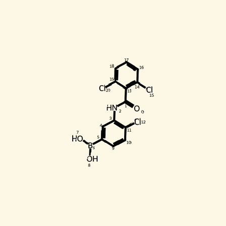 O=C(Nc1cc(B(O)O)ccc1Cl)c1c(Cl)cccc1Cl